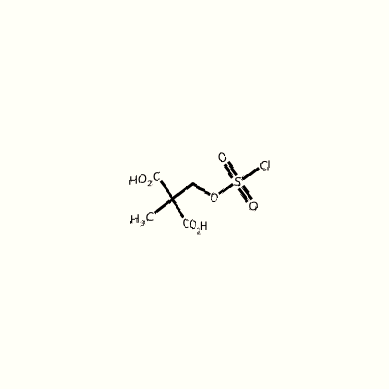 CC(COS(=O)(=O)Cl)(C(=O)O)C(=O)O